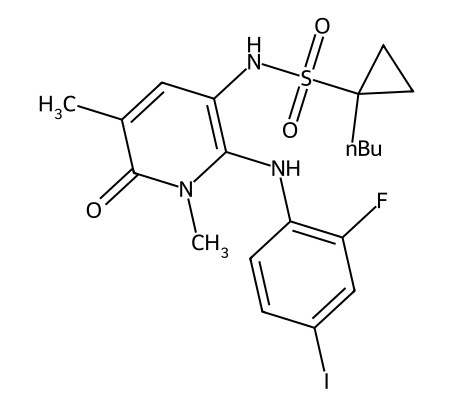 CCCCC1(S(=O)(=O)Nc2cc(C)c(=O)n(C)c2Nc2ccc(I)cc2F)CC1